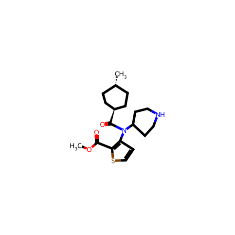 COC(=O)c1sccc1N(C(=O)[C@H]1CC[C@H](C)CC1)C1CCNCC1